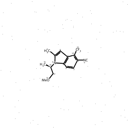 [C-]#[N+]c1ccc2c(cc(C)n2[C@H](C)COC)c1C(F)(F)F